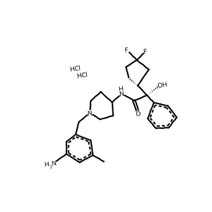 Cc1cc(N)cc(CN2CCC(NC(=O)[C@](O)(c3ccccc3)[C@@H]3CCC(F)(F)C3)CC2)c1.Cl.Cl